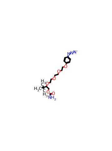 CC(C)(C)C(COC(N)=O)OCCOCCOCCOc1ccc(N=[N+]=[N-])cc1